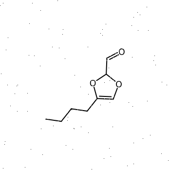 CCCCC1=COC(C=O)O1